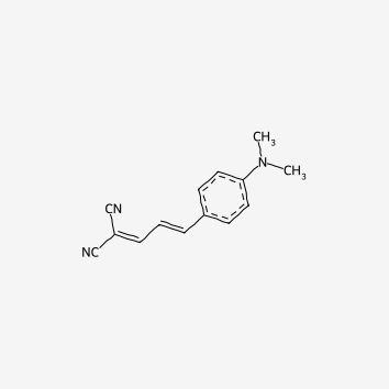 CN(C)c1ccc(/C=C/C=C(C#N)C#N)cc1